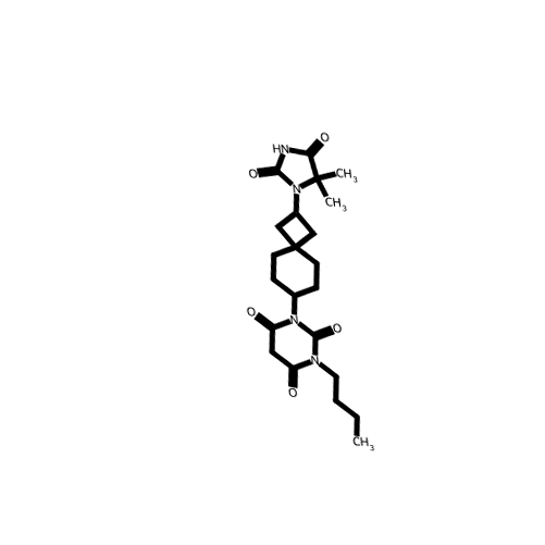 CCCCN1C(=O)CC(=O)N(C2CCC3(CC2)CC(N2C(=O)NC(=O)C2(C)C)C3)C1=O